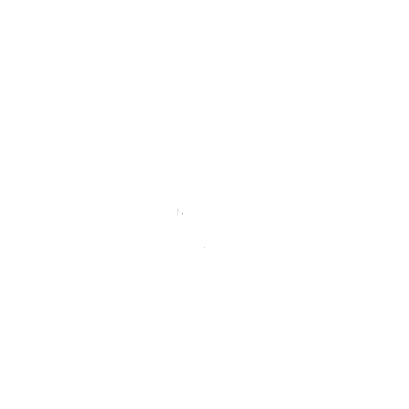 C=CCc1cccc(C(F)(F)F)c1[N+](=O)[O-]